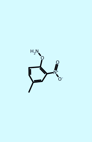 Cc1ccc(ON)c([N+](=O)[O-])c1